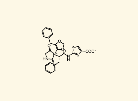 O=C([O-])c1csc(NC(=O)[C@H](Cc2ccccc2)[N+]2(C3=C(Cc4ccccc4)OCO3)C(=O)CNC2=O)n1